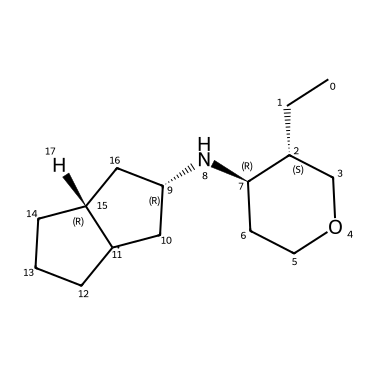 CC[C@@H]1COCC[C@H]1N[C@@H]1C[C]2CCC[C@@H]2C1